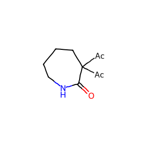 CC(=O)C1(C(C)=O)CCCCNC1=O